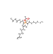 CCCCCCCCP(C)(CCCCCCCC)(CCCCCCCC)OC(C)=O